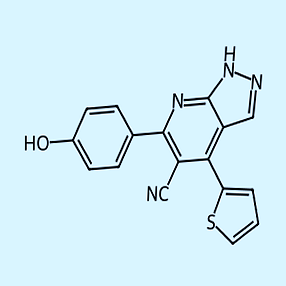 N#Cc1c(-c2ccc(O)cc2)nc2[nH]ncc2c1-c1cccs1